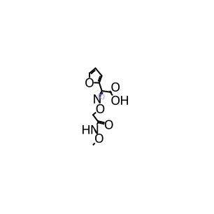 CONC(=O)CO/N=C(\C(=O)O)c1ccco1